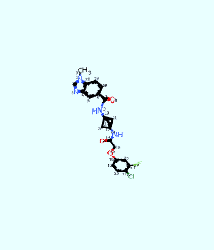 Cn1cnc2cc(C(=O)NC34CC(NC(=O)COc5ccc(Cl)c(F)c5)(C3)C4)ccc21